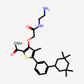 COC(=O)c1sc(-c2cccc(C3CC(C)(C)CC(C)(C)C3)c2)c(C)c1OCC(=O)NCCN